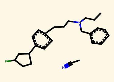 CC#N.CCCN(CCCc1ccc(C2CCC(F)C2)cc1)Cc1ccccc1